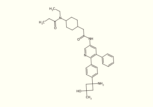 CCC(=O)N(CC)C1CCC(CC(=O)Nc2cnc(-c3ccc(C4(N)CC(C)(O)C4)cc3)c(-c3ccccc3)c2)CC1